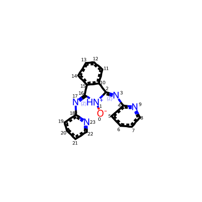 [O-][NH+]1/C(=N\c2ccccn2)c2ccccc2/C1=N/c1ccccn1